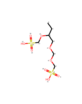 CCC(COCOCS(=O)(=O)O)OCS(=O)(=O)O